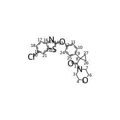 O=C(N1CCOCC1)C1(c2ccc(Oc3nc4ccc(Cl)cc4s3)cc2)CC1